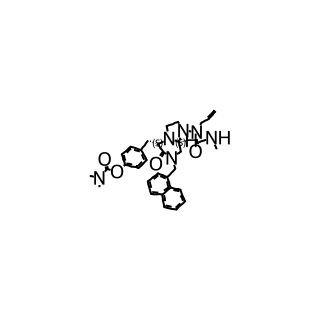 C=CCN(C(=O)NC)N1CCN2[C@@H](Cc3ccc(OC(=O)N(C)C)cc3)C(=O)N(Cc3cccc4ccccc34)C[C@@H]21